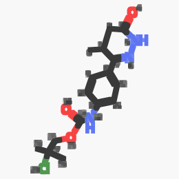 CC1CC(=O)NN=C1c1ccc(NC(=O)OCC(C)(C)Cl)cc1